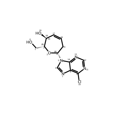 OC[C@H]1O[C@@H](n2cnc3c(Cl)ncnc32)CC=C[C@@H]1O